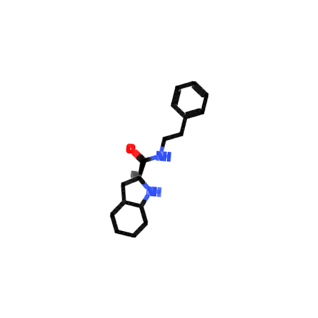 O=C(NCCc1ccccc1)[C@@H]1CC2CCCCC2N1